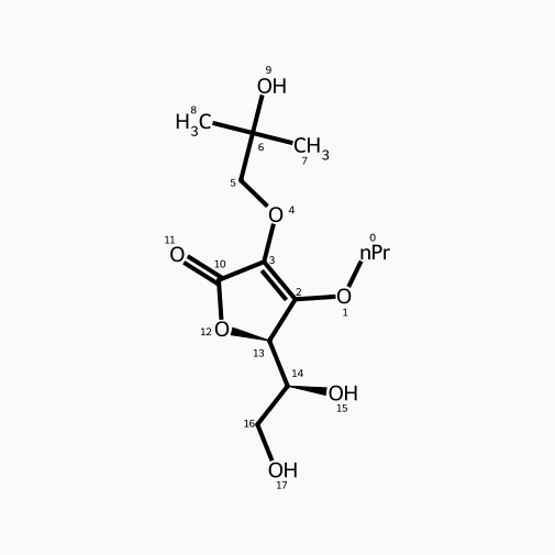 CCCOC1=C(OCC(C)(C)O)C(=O)O[C@@H]1[C@@H](O)CO